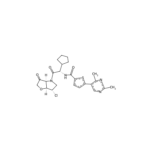 Cc1ncc(-c2ccc(C(=O)N[C@H](C(=O)N3C[C@H](Cl)[C@H]4OCC(=O)[C@H]43)C3CCCC3)s2)c(C)n1